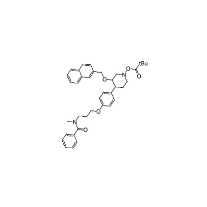 CN(CCCOc1ccc(C2CCN(OC(=O)C(C)(C)C)CC2OCc2ccc3ccccc3c2)cc1)C(=O)c1ccccc1